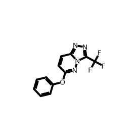 FC(F)(F)c1nnc2ccc(Oc3ccccc3)nn12